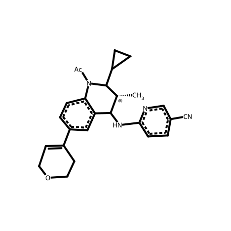 CC(=O)N1c2ccc(C3=CCOCC3)cc2C(Nc2ccc(C#N)cn2)[C@@H](C)C1C1CC1